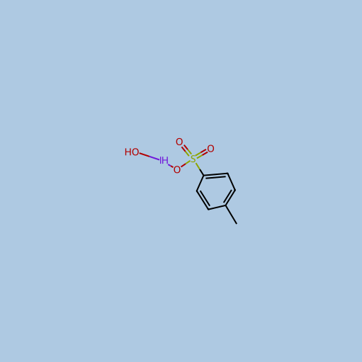 Cc1ccc(S(=O)(=O)O[IH]O)cc1